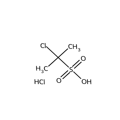 CC(C)(Cl)S(=O)(=O)O.Cl